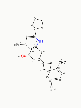 CCCC1C=C(C2CCCC2)NC2=C1C(=O)CC(C1CC3(CC(C(F)(F)F)=CC=C3C=O)C1)C2